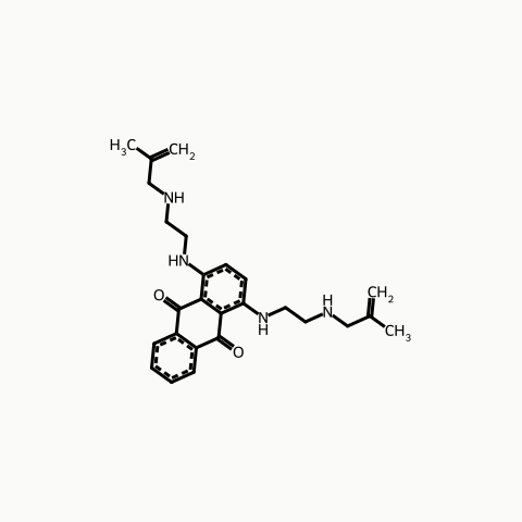 C=C(C)CNCCNc1ccc(NCCNCC(=C)C)c2c1C(=O)c1ccccc1C2=O